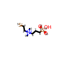 C[N+](C)(CC[S-])CCCS(=O)(=O)O